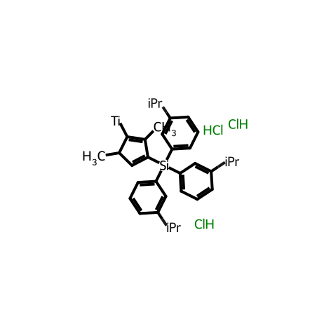 CC1=[C]([Ti])C(C)C=C1[Si](c1cccc(C(C)C)c1)(c1cccc(C(C)C)c1)c1cccc(C(C)C)c1.Cl.Cl.Cl